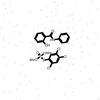 COP(=O)(OC)Sc1cc(Cl)c(Cl)cc1Cl.O=C(Nc1ccccc1)c1ccccc1O